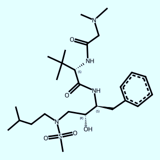 CC(C)CCN(C[C@@H](O)[C@H](Cc1ccccc1)NC(=O)[C@@H](NC(=O)CN(C)C)C(C)(C)C)S(C)(=O)=O